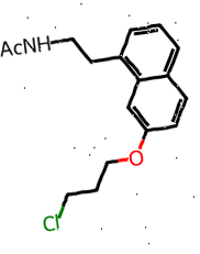 CC(=O)NCCc1cccc2ccc(OCCCCl)cc12